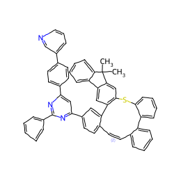 CC1(C)c2ccccc2-c2cc3c(cc21)Sc1ccccc1-c1ccccc1/C=C\c1ccc(-c2cc(-c4ccc(-c5cccnc5)cc4)nc(-c4ccccc4)n2)cc1-3